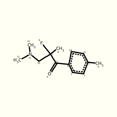 Cc1ccc(C(=O)C(C)(F)CN(C)C)cc1